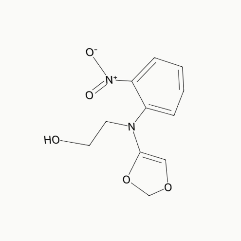 O=[N+]([O-])c1ccccc1N(CCO)C1=COCO1